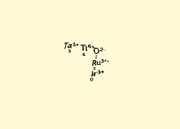 [Ir+3].[O-2].[Ru+3].[Ta+5].[Ti+4]